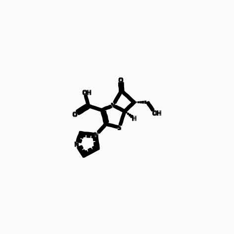 O=C(O)C1=C(n2ccnc2)S[C@@H]2[C@@H](CO)C(=O)N12